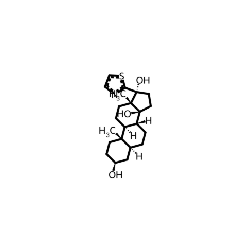 C[C@]12CC[C@H](O)C[C@@H]1CC[C@@H]1[C@@H]2CC[C@]2(C)[C@@](O)(c3nccs3)CC[C@]12O